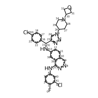 Fc1ccc(Nc2nncc3ccc(N[C@@H](c4ccc(Cl)cc4)c4cn(C5CCN(C6COC6)CC5)nn4)cc23)cc1Cl